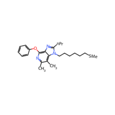 CCCc1nc2c(Oc3ccccc3)nc(C)c(C)c2n1CCCCCCSC